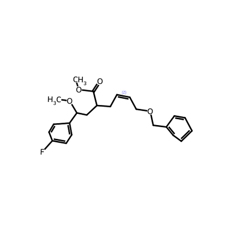 COC(=O)C(C/C=C\COCc1ccccc1)CC(OC)c1ccc(F)cc1